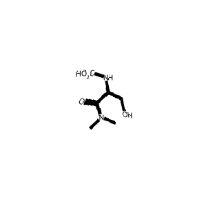 CN(C)C(=O)C(CO)NC(=O)O